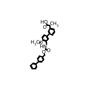 COc1ccc(-c2cccc(C(C)C(=O)O)c2)cc1CNC(=O)OCc1ccc(-c2ccccc2)cc1